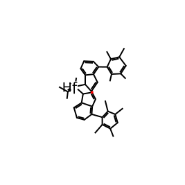 C[C](C)=[Hf]([CH3])([CH3])([CH]1C=Cc2c(-c3c(C)c(C)cc(C)c3C)cccc21)[CH]1C=Cc2c(-c3c(C)c(C)cc(C)c3C)cccc21